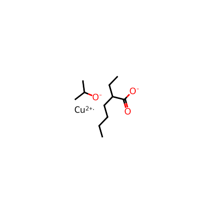 CC(C)[O-].CCCCC(CC)C(=O)[O-].[Cu+2]